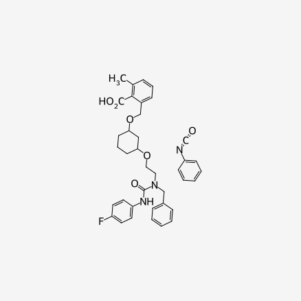 Cc1cccc(COC2CCCC(OCCN(Cc3ccccc3)C(=O)Nc3ccc(F)cc3)C2)c1C(=O)O.O=C=Nc1ccccc1